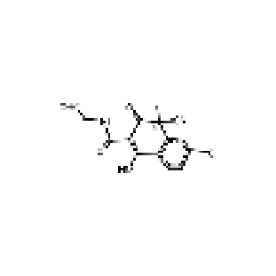 C[C@@]1(C#N)C(=O)C(C(=O)NCC=O)=C(O)c2ccc(Cl)cc21